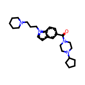 O=C(c1ccc2c(ccn2CCCN2CCCCC2)c1)N1CCN(C2CCCC2)CC1